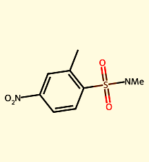 CNS(=O)(=O)c1ccc([N+](=O)[O-])cc1C